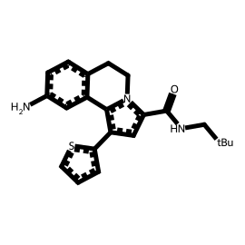 CC(C)(C)CNC(=O)c1cc(-c2cccs2)c2n1CCc1ccc(N)cc1-2